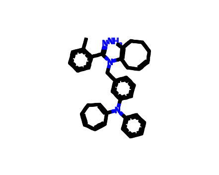 C/C1=C(\N(Cc2cccc(N(C3=CCC=CC=C3)c3ccccc3)c2)/C(=N\N)c2ccccc2C)C/C=C\CCC1